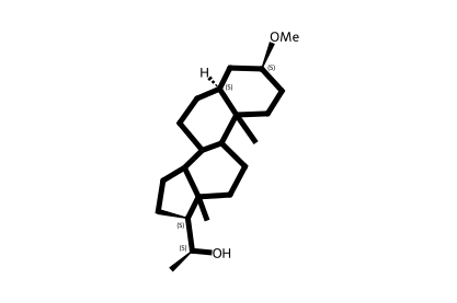 CO[C@H]1CCC2(C)C3CCC4(C)C(CC[C@@H]4[C@H](C)O)C3CC[C@H]2C1